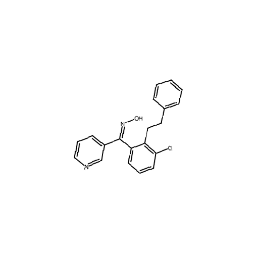 ON=C(c1cccnc1)c1cccc(Cl)c1CCc1ccccc1